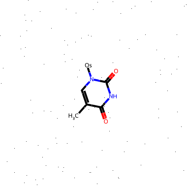 Cc1c[n]([Os])c(=O)[nH]c1=O